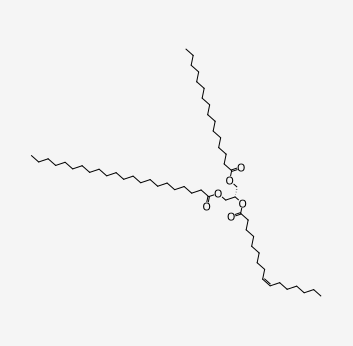 CCCCCC/C=C\CCCCCCCC(=O)O[C@@H](COC(=O)CCCCCCCCCCCCCCC)COC(=O)CCCCCCCCCCCCCCCCCCCCC